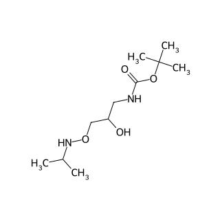 CC(C)NOCC(O)CNC(=O)OC(C)(C)C